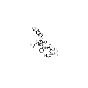 C=C(CN(C)C)C(=O)NC[C@@H](NC(=O)[C@H](Cc1nc2ccc(CC)cc2s1)NC(=O)CC)C1CCCCC1